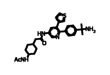 CC(=O)NC1CCC(CC(=O)Nc2cnc(-c3ccc(C(C)(C)N)cc3)c(-c3ccsc3)c2)CC1